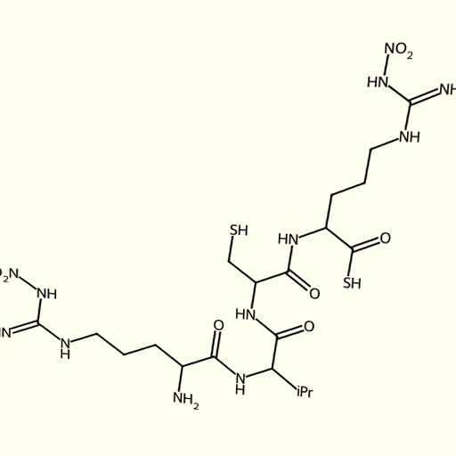 CC(C)C(NC(=O)C(N)CCCNC(=N)N[N+](=O)[O-])C(=O)NC(CS)C(=O)NC(CCCNC(=N)N[N+](=O)[O-])C(=O)S